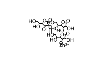 O=C1O[C@H]([C@@H](O)CO)C(O)=C1O.O=C1O[C@H]([C@@H](O)CO)C([O-])=C1O.O=C1O[C@H]([C@@H](O)CO)C([O-])=C1O.[Zn+2]